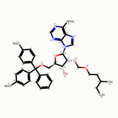 COc1ccc(C(OC[C@H]2O[C@@H](n3cnc4c(NC(C)=O)ncnc43)[C@H](OCOCCC(COC(C)=O)OC(C)=O)[C@@H]2O)(c2ccccc2)c2ccc(OC)cc2)cc1